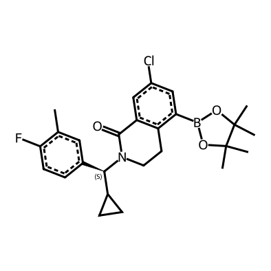 Cc1cc([C@H](C2CC2)N2CCc3c(B4OC(C)(C)C(C)(C)O4)cc(Cl)cc3C2=O)ccc1F